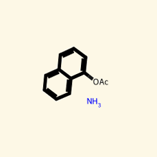 CC(=O)Oc1cccc2ccccc12.N